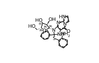 Nc1ccccc1SC1(c2ccccc2)Nc2c(nc3[nH]ccn3c2=O)N1[C@@H]1O[C@H](CO)[C@@H](O)[C@H]1O